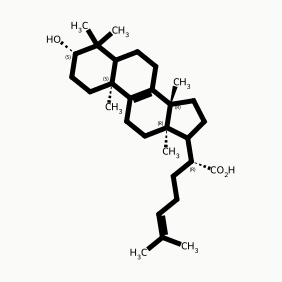 CC(C)=CCC[C@@H](C(=O)O)C1CC[C@@]2(C)C3=C(CC[C@]12C)[C@@]1(C)CC[C@H](O)C(C)(C)C1CC3